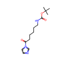 CC(C)(C)OC(=O)NCCCCCC(=O)n1ccnc1